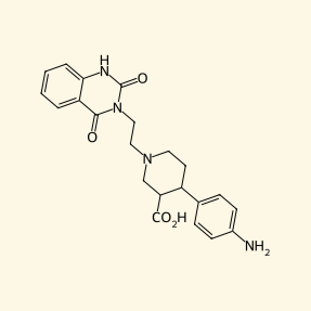 Nc1ccc(C2CCN(CCn3c(=O)[nH]c4ccccc4c3=O)CC2C(=O)O)cc1